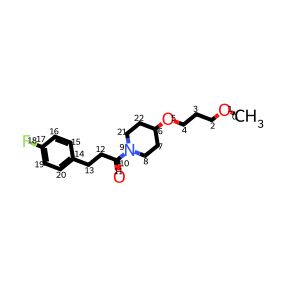 COCCCOC1CCN(C(=O)CCc2ccc(F)cc2)CC1